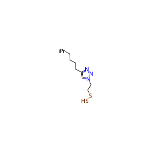 CC(C)CCCCc1cn(CCSS)nn1